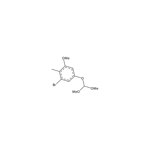 COc1cc(OC(OC)OC)cc(Br)c1C